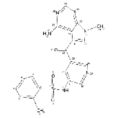 Cc1ccccc1S(=O)(=O)Nc1cncc(C(=O)c2cn(C)c3ncnc(N)c23)c1